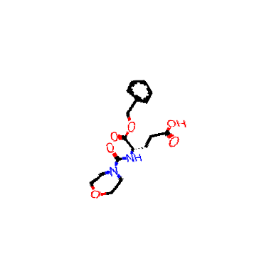 O=C(O)CC[C@H](NC(=O)N1CCOCC1)C(=O)OCc1ccccc1